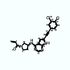 C=CC(=O)N1CCC(Nc2ncnc3[nH]c(C#Cc4ccc(Cl)c(Cl)c4)cc23)C1